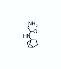 NCC(=O)NC12CCC(CC1)C2